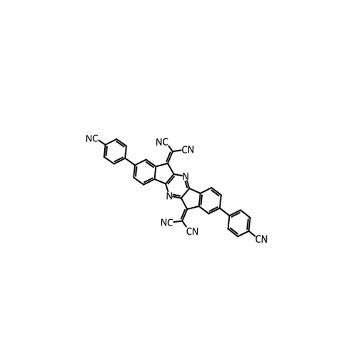 N#CC(C#N)=C1c2cc(-c3ccc(C#N)cc3)ccc2-c2nc3c(nc21)-c1ccc(-c2ccc(C#N)cc2)cc1C3=C(C#N)C#N